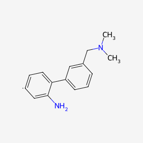 CN(C)Cc1cccc(-c2cc[c]cc2N)c1